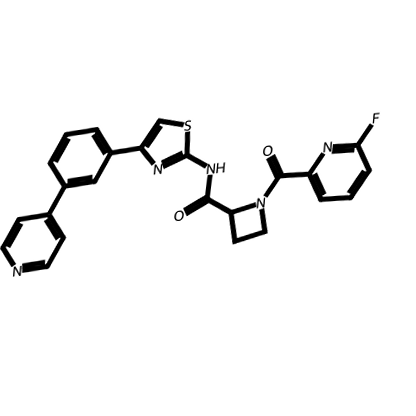 O=C(Nc1nc(-c2cccc(-c3ccncc3)c2)cs1)C1CCN1C(=O)c1cccc(F)n1